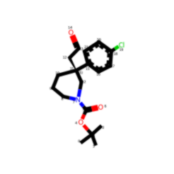 CC(C)(C)OC(=O)N1CCC[C@](CC=O)(c2ccc(Cl)cc2)C1